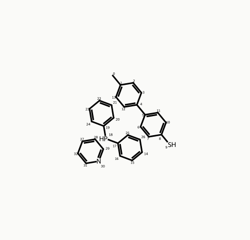 Cc1ccc(-c2ccc(S)cc2)cc1.c1ccc(Pc2ccccc2)cc1.c1ccncc1